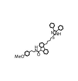 COc1ccc(CCNC(=O)C2c3ccccc3-c3c(CCCCSc4nc(-c5ccccc5)c(-c5ccccc5)[nH]4)cccc32)cc1